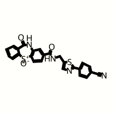 N#Cc1ccc(-c2ncc(CNC(=O)c3ccc4c(c3)NC(=O)c3ccccc3[S+]4[O-])s2)cc1